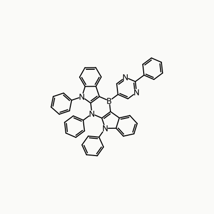 c1ccc(-c2ncc(B3c4c(n(-c5ccccc5)c5ccccc45)N(c4ccccc4)c4c3c3ccccc3n4-c3ccccc3)cn2)cc1